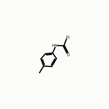 [CH2]CC(=O)Nc1ccc(C)cc1